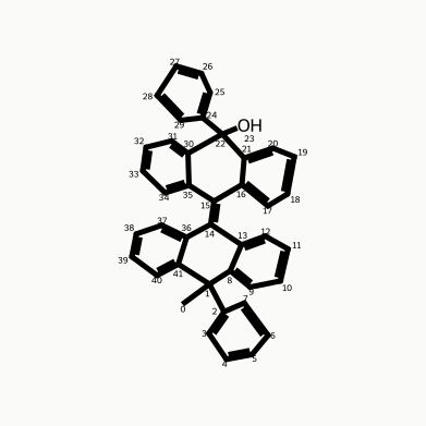 CC1(c2ccccc2)c2ccccc2C(=C2c3ccccc3C(O)(c3ccccc3)c3ccccc32)c2ccccc21